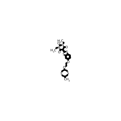 C=C1CSCC(OCCOc2ccc3c(c2)SC(=C2C(=O)N(CC)C(=O)N(CC)C2=O)S3)CSC1